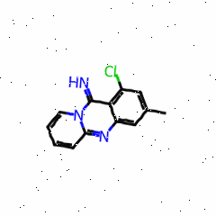 Cc1cc(Cl)c2c(=N)n3ccccc3nc2c1